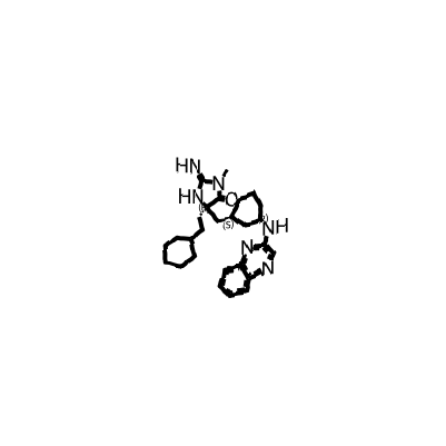 CN1C(=N)N[C@](CCC2CCCCC2)(C[C@H]2CCC[C@@H](Nc3cnc4ccccc4n3)C2)C1=O